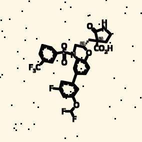 O=C(O)[C@]1(C[C@H]2CN(S(=O)(=O)c3cccc(C(F)(F)F)c3)c3cc(-c4cc(F)cc(OC(F)F)c4)ccc3O2)CCNC1=O